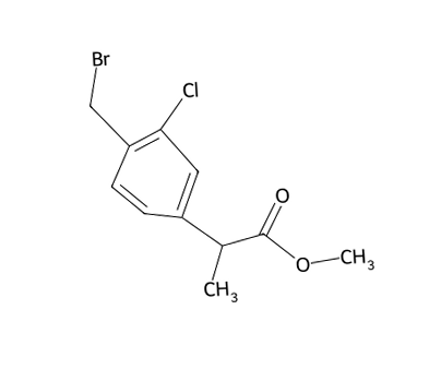 COC(=O)C(C)c1ccc(CBr)c(Cl)c1